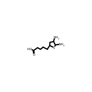 NC1CC(CCCCC(=O)O)SC1N